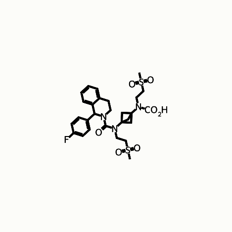 CS(=O)(=O)CCN(C(=O)O)C12CC(N(CCS(C)(=O)=O)C(=O)N3CCc4ccccc4C3c3ccc(F)cc3)(C1)C2